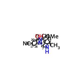 COc1cc(C)c2[nH]ccc2c1C(C)n1nc2ccc(C#N)cc2c1O